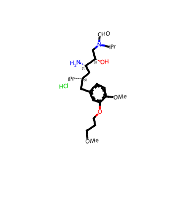 COCCCOc1cc(C[C@@H](C[C@H](N)[C@@H](O)CN(C=O)C(C)C)C(C)C)ccc1OC.Cl